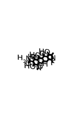 Cc1nc(F)c2c(c1O)C(=O)C1=C(O)[C@]3(O)C(=O)C(C(N)=O)=C(O)[C@@H](N(C)C)[C@@H]3C[C@@H]1C2